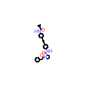 O=C(Nc1ccc(C#Cc2ccc(NC(=O)[C@@H]3CCCN3C(=O)Cc3ccccc3)cc2)cc1)C1CC1